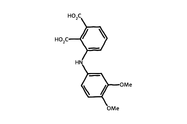 COc1ccc(Nc2cccc(C(=O)O)c2C(=O)O)cc1OC